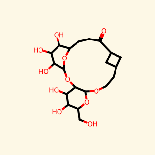 O=C1CCC2OC(OC3C(OCCC4CC1C4)OC(CO)C(O)C3O)C(O)C(O)C2O